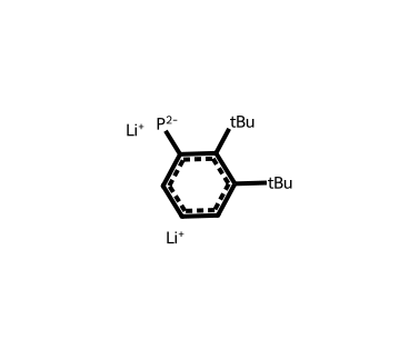 CC(C)(C)c1cccc([P-2])c1C(C)(C)C.[Li+].[Li+]